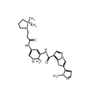 CC1NC=C(NC(=O)CCN2CCC[PH]2(C)C)C=C1NC(=O)c1cnn2cc(-c3ccnn3C)sc12